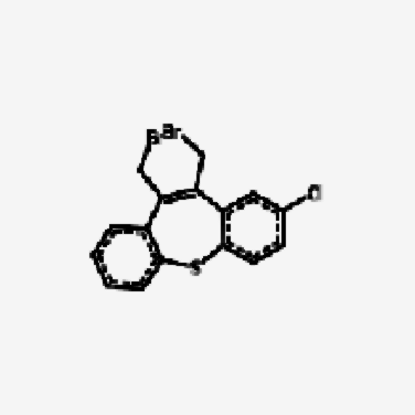 Clc1ccc2c(c1)C(CBr)=C(CBr)c1ccccc1S2